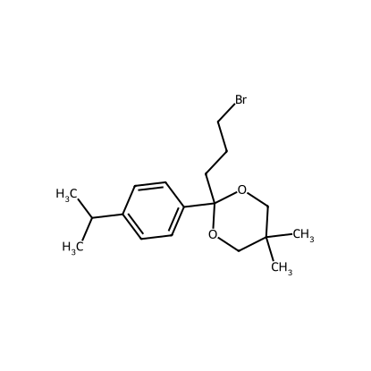 CC(C)c1ccc(C2(CCCBr)OCC(C)(C)CO2)cc1